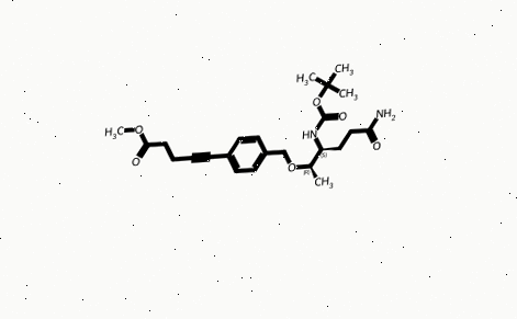 COC(=O)CCC#Cc1ccc(CO[C@H](C)[C@H](CCC(N)=O)NC(=O)OC(C)(C)C)cc1